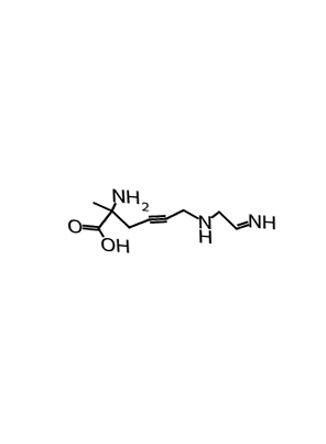 CC(N)(CC#CCNCC=N)C(=O)O